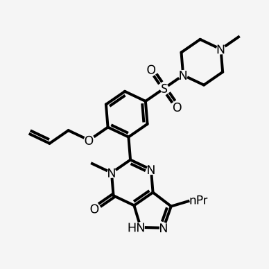 C=CCOc1ccc(S(=O)(=O)N2CCN(C)CC2)cc1-c1nc2c(CCC)n[nH]c2c(=O)n1C